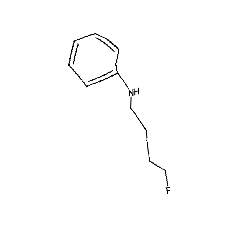 FCCCCNc1ccccc1